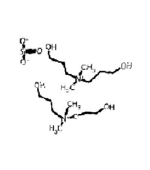 C[N+](C)(CCCO)CCCO.C[N+](C)(CCCO)CCCO.O=[Si]([O-])[O-]